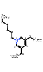 CCCCCCCCCCCCCCC[n+]1cc(CCCCCCCCCCC)cc(CCCCCCCCCCC)c1